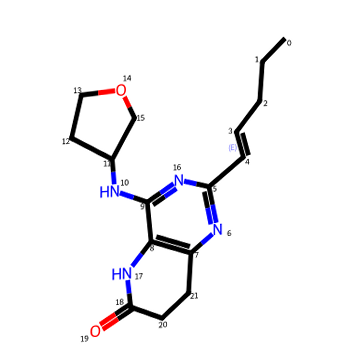 CCC/C=C/c1nc2c(c(NC3CCOC3)n1)NC(=O)CC2